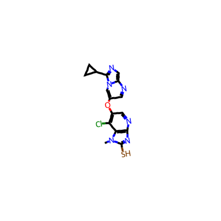 Cn1c(S)nc2ncc(Oc3cnc4cnc(C5CC5)n4c3)c(Cl)c21